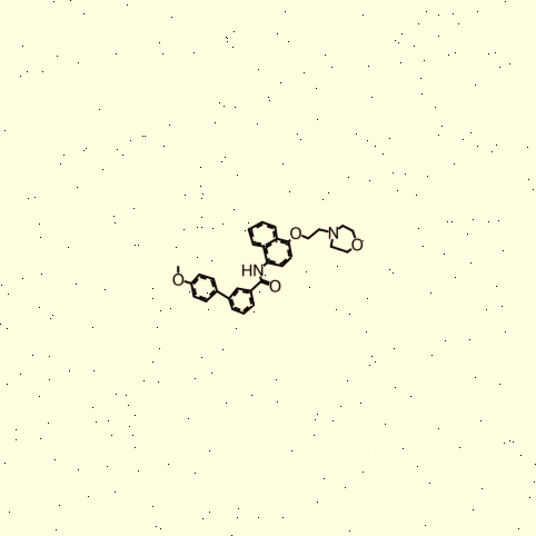 COc1ccc(-c2cccc(C(=O)Nc3ccc(OCCN4CCOCC4)c4ccccc34)c2)cc1